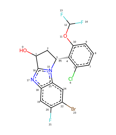 OC1C[C@H](c2c(Cl)cccc2OC(F)F)n2c1nc1cc(F)c(Br)cc12